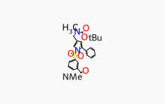 CNC(=O)c1cccc(S(=O)(=O)n2cc(CN(C)C(=O)OC(C)(C)C)cc2-c2ccccc2)c1